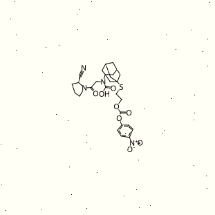 N#C[C@@H]1CCCN1C(=O)CN(C(=O)O)C12CC3CC(CC(SCCOC(=O)Oc4ccc([N+](=O)[O-])cc4)(C3)C1)C2